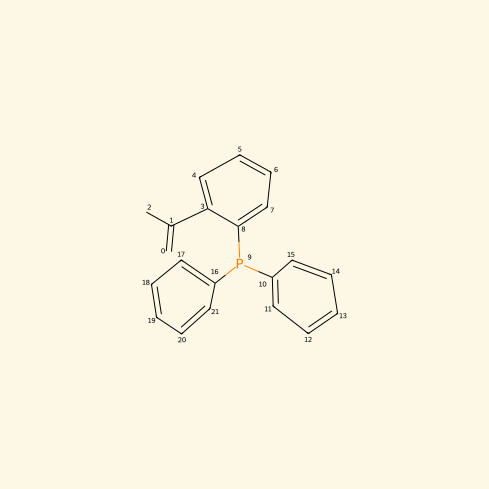 C=C(C)c1ccccc1P(c1ccccc1)c1ccccc1